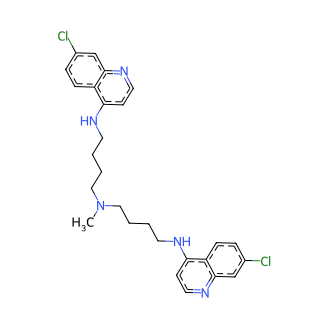 CN(CCCCNc1ccnc2cc(Cl)ccc12)CCCCNc1ccnc2cc(Cl)ccc12